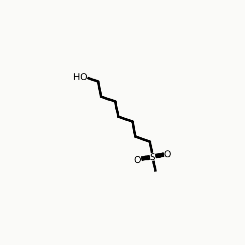 CS(=O)(=O)CCCCCCCO